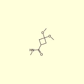 CNC(=O)C1CC(OC)(OC)C1